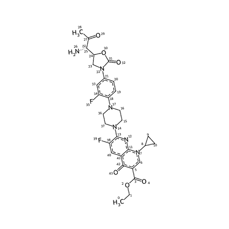 CCOC(=O)c1cn(C2CC2)c2nc(N3CCN(c4ccc(N5CC([C@H](N)C(C)=O)OC5=O)cc4F)CC3)c(F)cc2c1=O